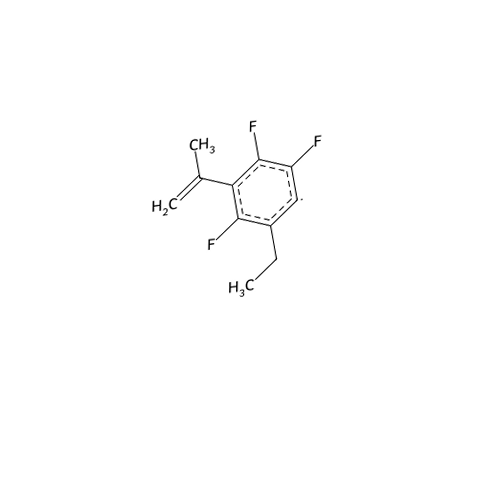 C=C(C)c1c(F)c(F)[c]c(CC)c1F